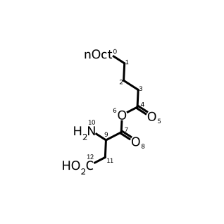 CCCCCCCCCCCC(=O)OC(=O)C(N)CC(=O)O